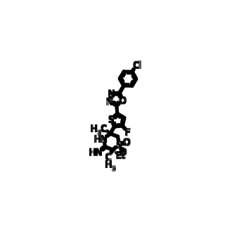 CC[C@]1(C)C(=N)N[C@](C)(c2sc(-c3nnc(-c4ccc(Cl)cc4)o3)cc2F)CS1(=O)=O